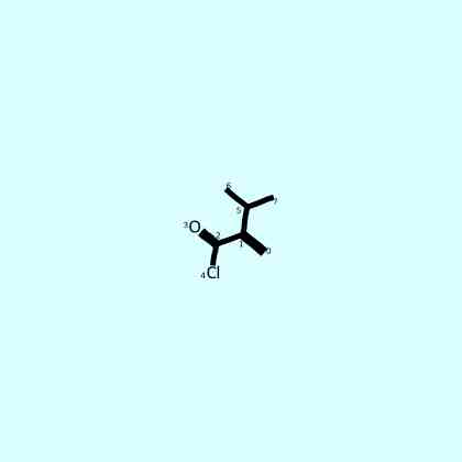 C=C(C(=O)Cl)C(C)C